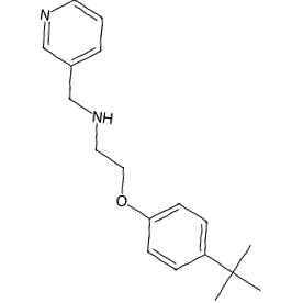 CC(C)(C)c1ccc(OCCNCc2cccnc2)cc1